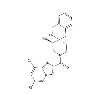 O=C(c1cn2cc(Cl)cc(Cl)c2n1)N1CC[C@]2(Cc3ccccc3CN2)[C@H](O)C1